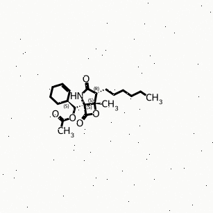 CCCCCC[C@H]1C(=O)N[C@]2(C(OC(C)=O)[C@@H]3C=CCCC3)C(=O)O[C@@]12C